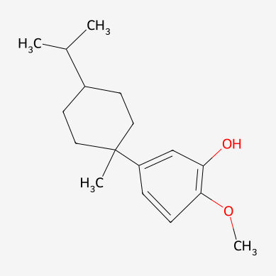 COc1ccc(C2(C)CCC(C(C)C)CC2)cc1O